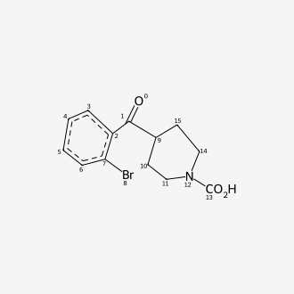 O=C(c1ccccc1Br)C1CCN(C(=O)O)CC1